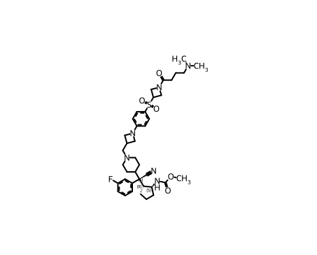 COC(=O)N[C@H]1CCC[C@@H]1[C@](C#N)(c1cccc(F)c1)C1CCN(CC2CN(c3ccc(S(=O)(=O)C4CN(C(=O)CCCN(C)C)C4)cc3)C2)CC1